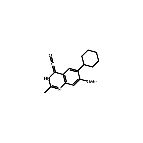 COc1cc2c(cc1C1CCCCC1)C(=C=O)NC(C)=N2